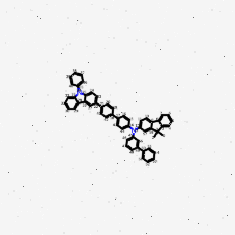 CC1(C)c2ccccc2-c2ccc(N(c3ccc(-c4ccc(-c5ccc6c(c5)c5ccccc5n6-c5ccccc5)cc4)cc3)c3cccc(-c4ccccc4)c3)cc21